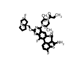 C=CC(=O)N1C[C@H](C)N(c2nc(OC[C@@]34CCCN3C[C@H](F)C4)nc3c(F)c(-c4ccc(F)c5sc(N)c(C#N)c45)c(F)cc23)C[C@H]1C